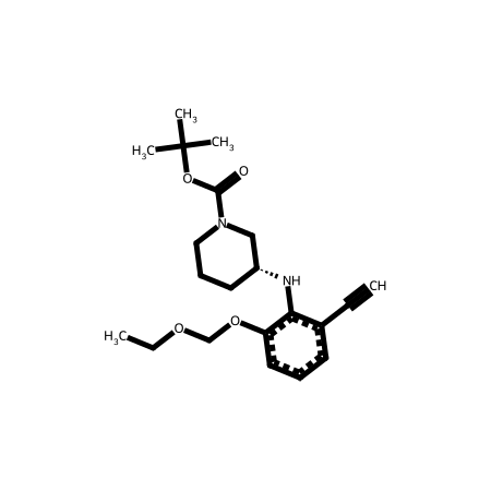 C#Cc1c[c]cc(OCOCC)c1N[C@@H]1CCCN(C(=O)OC(C)(C)C)C1